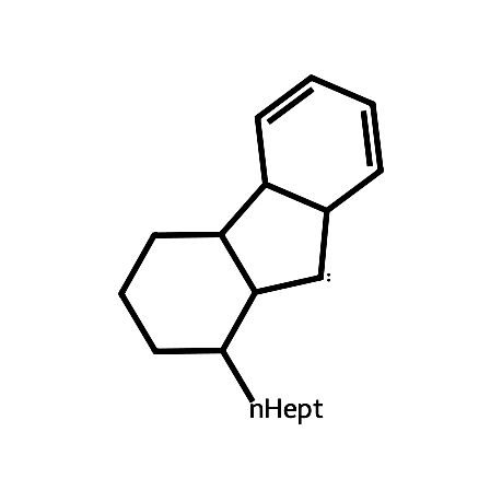 CCCCCCCC1CCCC2C1[C]C1C=CC=CC12